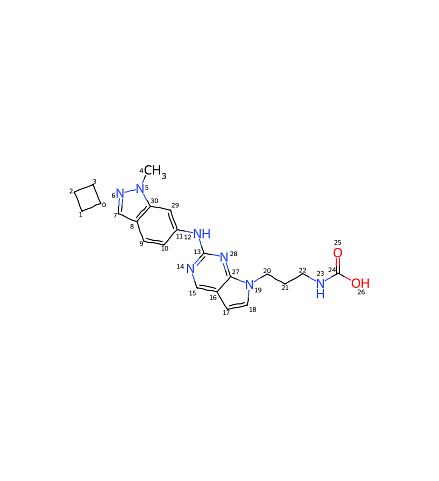 C1CCC1.Cn1ncc2ccc(Nc3ncc4ccn(CCCNC(=O)O)c4n3)cc21